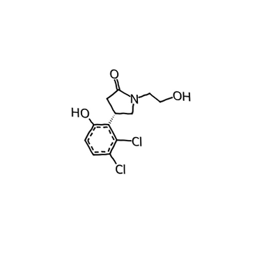 O=C1C[C@@H](c2c(O)ccc(Cl)c2Cl)CN1CCO